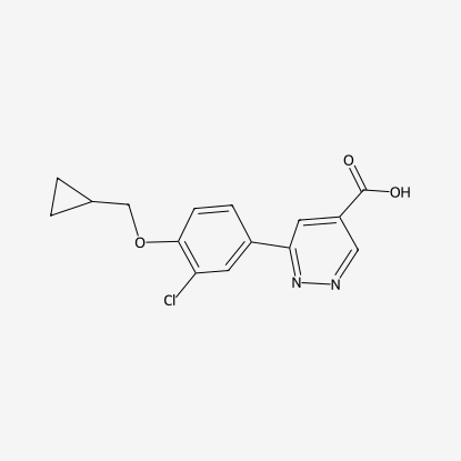 O=C(O)c1cnnc(-c2ccc(OCC3CC3)c(Cl)c2)c1